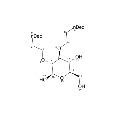 CCCCCCCCCCCCO[C@@H]1[C@@H](OCCCCCCCCCCCC)[C@H](O)[C@@H](CO)O[C@H]1O